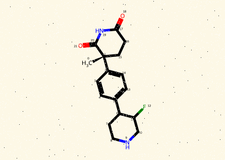 C[C@]1(c2ccc(C3CCNCC3F)cc2)CCC(=O)NC1=O